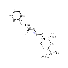 COC(=O)C1CCN(C/C=C/C(=O)OCc2ccccc2)C(C(F)(F)F)C1